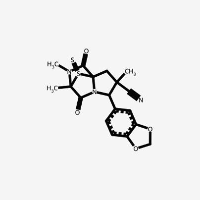 CN1C(=O)C23CC(C)(C#N)C(c4ccc5c(c4)OCO5)N2C(=O)C1(C)S3=S